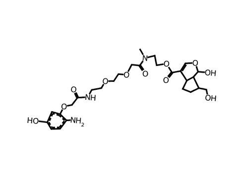 CN(CCOC(=O)C1=COC(O)C2C(CO)CCC12)C(=O)COCCOCCNC(=O)COc1cc(O)ccc1N